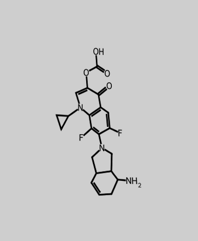 NC1CC=CC2CN(c3c(F)cc4c(=O)c(OC(=O)O)cn(C5CC5)c4c3F)CC12